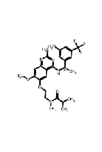 COc1cc2nc(C)nc(N[C@H](C)c3cc(N)cc(C(F)(F)F)c3)c2cc1OCCN(C)C(=O)C(C)C